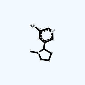 CN1CCCC1c1cncc(N)c1